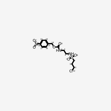 O=C(NCCNS(=O)(=O)CCCCl)OCc1ccc([N+](=O)[O-])cc1